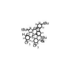 CC1=[C]([Zr+2](=[C](c2cccc(C(F)(F)F)c2)c2cccc(C(F)(F)F)c2)[c]2cc(C(C)(C)C)cc3c2Cc2ccc(C(C)(C)C)cc2-3)C(C)C=C1C(C)(C)C.[Cl-].[Cl-]